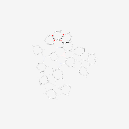 c1ccc(-c2ccccc2N2c3cc(N(c4ccccc4)c4ccccc4)cc4c3B(c3cc([Si](c5ccccc5)(c5ccccc5)c5ccccc5)ccc3N4c3ccc([Si](c4ccccc4)(c4ccccc4)c4ccccc4)cc3)c3cccc(-c4ccccc4)c32)cc1